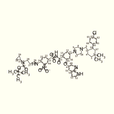 CC1(C)CCC(CN2CCN(c3ccc(C(=O)NS(=O)(=O)c4ccc(NCCCN(C(=O)OC(C)(C)C)C5CC5)c([N+](=O)[O-])c4)c(Oc4cnc5[nH]ccc5c4)c3)CC2)C(c2ccc(Cl)cc2)C1